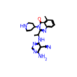 Cc1cccc2nc(C(C)Nc3ncnc(N)c3C#N)n(C3CCNCC3)c(=O)c12